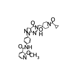 COc1ncccc1C(=O)Nc1ccc(-n2ncc3c(=O)n(CC4(O)CCN(C(=O)C5CC5)CC4)cnc32)cc1